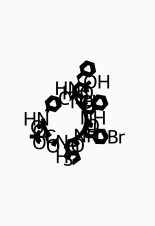 CC(=O)O[C@@H]1CC(=O)N[C@H](Cc2cccs2)C(=O)N[C@@H](Cc2ccc(Br)cc2)C(=O)N[C@H](Cc2ccccc2)C(=O)N[C@@H](C(=O)N[C@@H](Cc2ccccc2)C(=O)O)Cc2ccc(cc2)NC1=O